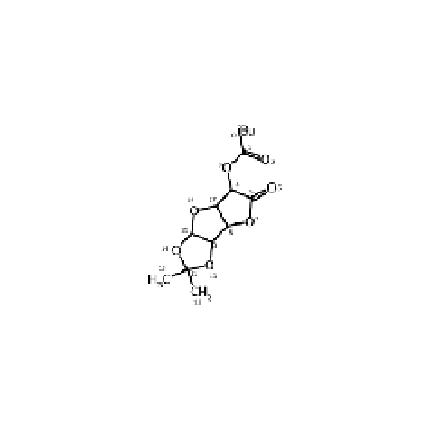 CCC(C)C(=O)OC1C(=O)OC2C3OC(C)(C)OC3OC12